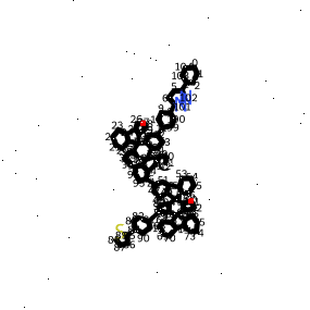 c1ccc(-c2ccc(-c3ccc(-c4ccc5c(c4)C4(c6ccccc6-c6ccccc64)c4ccccc4C54c5ccccc5-c5c(-c6ccc7c(c6)-c6ccccc6C76c7ccccc7C7(c8ccccc8-c8ccccc87)c7cc(-c8ccc(-c9cccs9)cc8)ccc76)cccc54)cc3)nn2)cc1